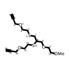 C#CCOCCSCC(COCCOC)SCCOCC#C